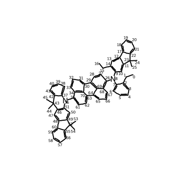 CCc1ccccc1N(c1cc2c(cc1CC)-c1ccccc1C2(C)C)c1ccc2c3cccc4c(N5c6ccccc6C(C)(C)c6cc7c(cc65)C(C)(C)c5ccccc5-7)ccc(c5cccc1c25)c43